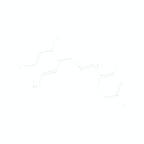 Oc1cc(O)c(/C=N/Nc2ccc(F)cc2F)cc1O